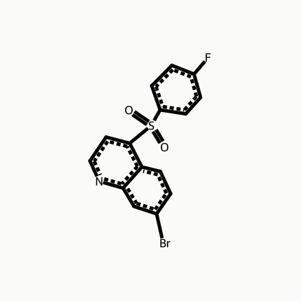 O=S(=O)(c1ccc(F)cc1)c1ccnc2cc(Br)ccc12